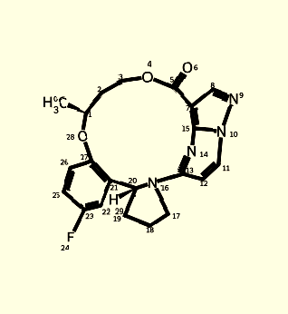 C[C@H]1CCOC(=O)c2cnn3ccc(nc23)N2CCC[C@@H]2c2cc(F)ccc2O1